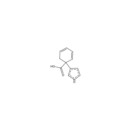 O=C(O)C1(c2cc[nH]c2)C=CC=CC1